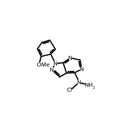 COc1ccccc1-n1ncc2c(N(N)Cl)ncnc21